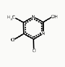 Cc1nc(O)nc(Cl)c1Cl